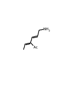 C/C=C(/C=C/CN)C(C)=O